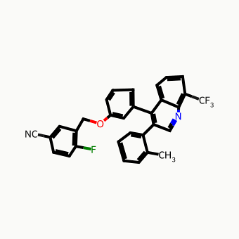 Cc1ccccc1-c1cnc2c(C(F)(F)F)cccc2c1-c1cccc(OCc2cc(C#N)ccc2F)c1